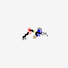 Cc1nn(C(C)C)c2c(SCCC(=O)OCCCCCC(C)C)cc(Br)nc12